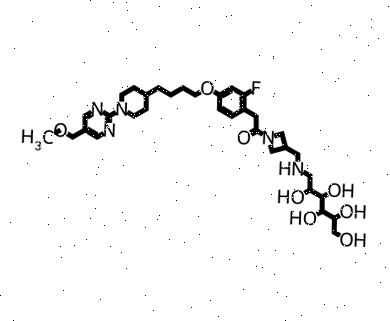 COCc1cnc(N2CCC(CCCCOc3ccc(CC(=O)N4CC(CNCC(O)C(O)C(O)C(O)CO)C4)c(F)c3)CC2)nc1